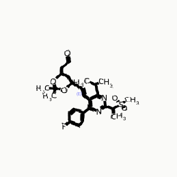 CC(C)c1nc(C(C)S(C)(=O)=O)nc(-c2ccc(F)cc2)c1/C=C/C1CC(CC=O)OC(C)(C)O1